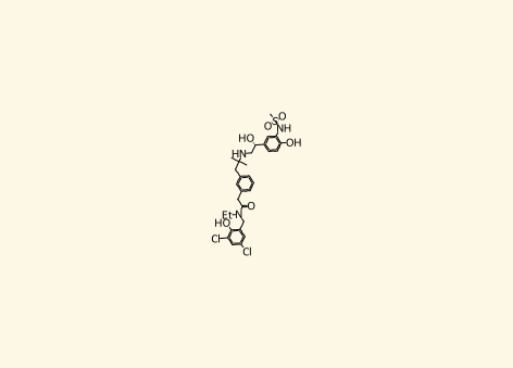 CCN(Cc1cc(Cl)cc(Cl)c1O)C(=O)Cc1cccc(CC(C)(C)NC[C@H](O)c2ccc(O)c(NS(C)(=O)=O)c2)c1